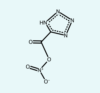 O=C(O[N+](=O)[O-])c1nnn[nH]1